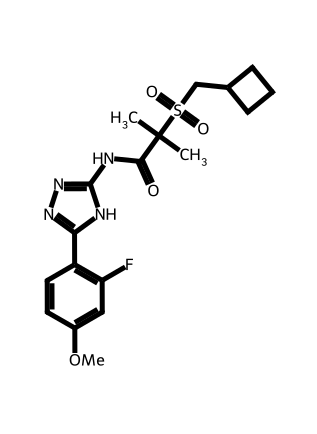 COc1ccc(-c2nnc(NC(=O)C(C)(C)S(=O)(=O)CC3CCC3)[nH]2)c(F)c1